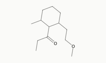 CCC(=O)C1C(C)CCCC1CCOC